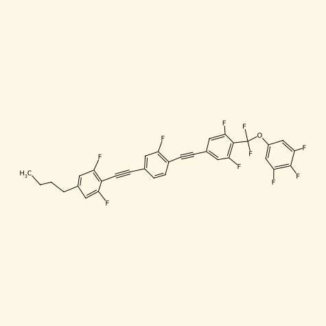 CCCCc1cc(F)c(C#Cc2ccc(C#Cc3cc(F)c(C(F)(F)Oc4cc(F)c(F)c(F)c4)c(F)c3)c(F)c2)c(F)c1